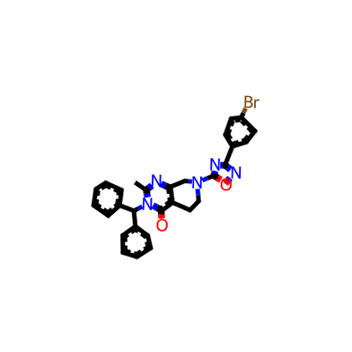 Cc1nc2c(c(=O)n1C(c1ccccc1)c1ccccc1)CCN(c1nc(-c3ccc(Br)cc3)no1)C2